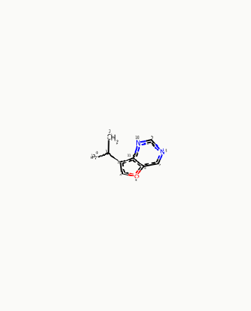 CC(C)C(C)c1coc2cncnc12